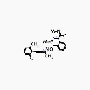 CNC(=O)/C(=N/OC)c1ccccc1CO/N=C(\C)C#Cc1c(C)cccc1Cl